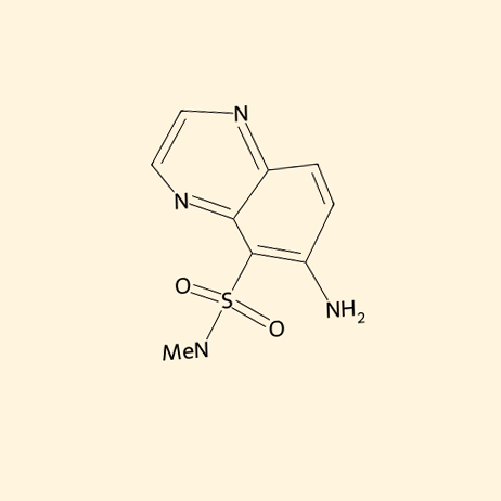 CNS(=O)(=O)c1c(N)ccc2nccnc12